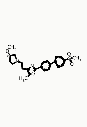 CO[C@@H]1CCN(CCc2nc(-c3ccc(-c4ccc(S(C)(=O)=O)cc4)cc3)oc2C)C1